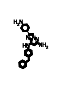 Nc1cc(Nc2ccc(Cc3ccccc3)cc2)c2nc([C@H]3CC[C@H](N)CC3)cn2n1